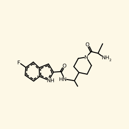 CC(N)C(=O)N1CCC(C(C)NC(=O)c2cc3cc(F)ccc3[nH]2)CC1